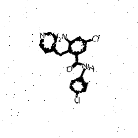 Nc1cc(Cl)cc(C(=O)Nc2ccc(Cl)cc2)c1Cc1ccncc1